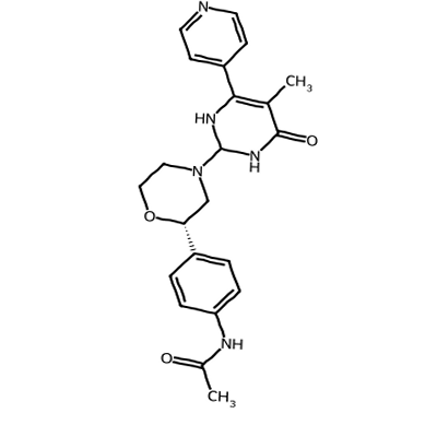 CC(=O)Nc1ccc([C@H]2CN(C3NC(=O)C(C)=C(c4ccncc4)N3)CCO2)cc1